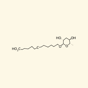 C[C@@H]1O[C@@H](OCCCCCCCCCCCCC(=O)O)[C@H](O)C[C@H]1O